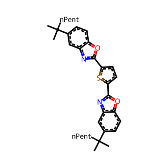 CCCCCC(C)(C)c1ccc2oc(-c3ccc(-c4nc5cc(C(C)(C)CCCCC)ccc5o4)s3)nc2c1